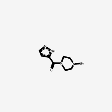 CC(C)N1CCN(C(=O)c2ccn[nH]2)CC1